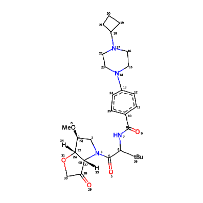 CO[C@H]1CN(C(=O)C(NC(=O)c2ccc(N3CCN(C4CCC4)CC3)cc2)C(C)(C)C)[C@@H]2C(=O)CO[C@H]12